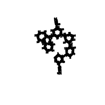 N#Cc1cccc(-c2cccc(-c3cccc(-c4cc(C#N)cc(-n5c6ccccc6c6ccccc65)c4)c3)c2)c1